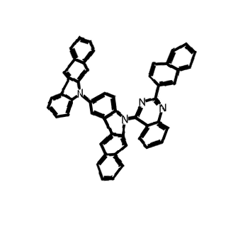 c1ccc2cc(-c3nc(-n4c5ccc(-n6c7ccccc7c7cc8ccccc8cc76)cc5c5cc6ccccc6cc54)c4ccccc4n3)ccc2c1